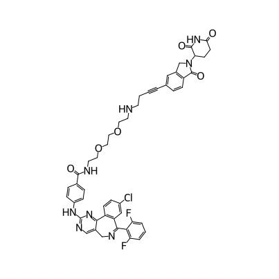 O=C1CCC(N2Cc3cc(C#CCCNCCOCCOCCNC(=O)c4ccc(Nc5ncc6c(n5)-c5ccc(Cl)cc5C(c5c(F)cccc5F)=NC6)cc4)ccc3C2=O)C(=O)N1